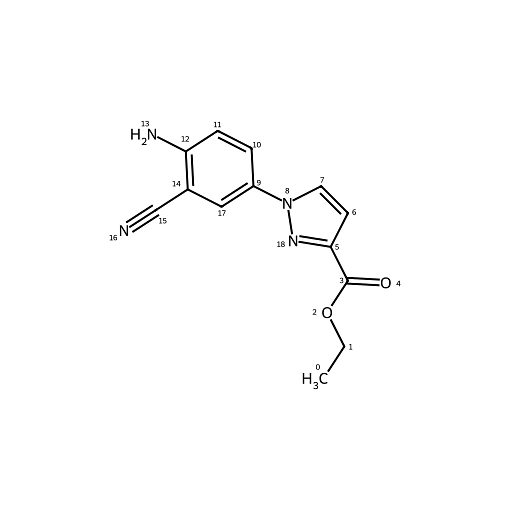 CCOC(=O)c1ccn(-c2ccc(N)c(C#N)c2)n1